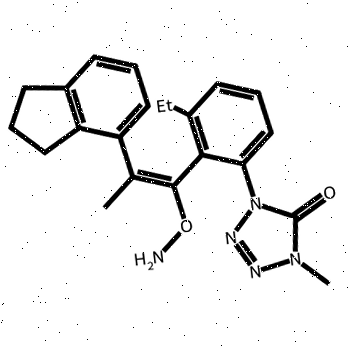 CCc1cccc(-n2nnn(C)c2=O)c1/C(ON)=C(/C)c1cccc2c1CCC2